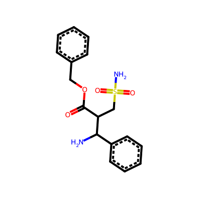 NC(c1ccccc1)C(CS(N)(=O)=O)C(=O)OCc1ccccc1